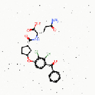 NC(=O)CC[C@H](NC(=O)[C@H]1CC[C@H](Oc2ccc(C(=O)c3ccccc3)c(Cl)c2Cl)C1)C(=O)O